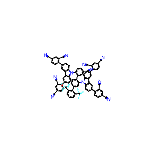 N#Cc1ccc(-c2ccc3c(c2)c2cc(-c4ccc(C#N)cc4C#N)ccc2n3-c2ccc(C#N)cc2-c2ccc(-c3c(C(F)(F)F)cccc3C(F)(F)F)cc2-n2c3ccc(-c4ccc(C#N)cc4C#N)cc3c3cc(-c4ccc(C#N)cc4C#N)ccc32)c(C#N)c1